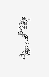 C[C@@H]1CNc2c(sc3ccc4nc(-c5cncc(N6CCN(CC7CCC(c8ccc9c(c8)n(C)c(=O)n9C8CCC(=O)NC8=O)CC7)CC6)c5)ccc4c23)C(=O)N1